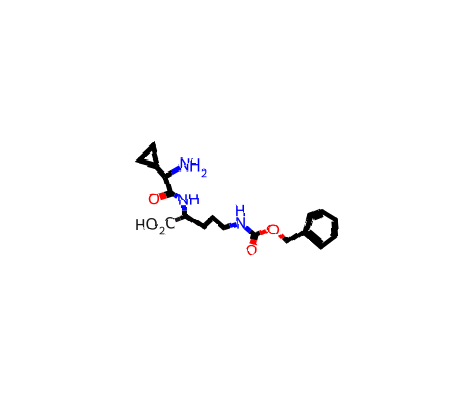 NC(C(=O)NC(CCCNC(=O)OCc1ccccc1)C(=O)O)C1CC1